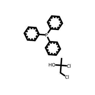 CC(O)(Cl)CCl.c1ccc(P(c2ccccc2)c2ccccc2)cc1